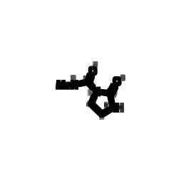 CNC(=O)N1CCNC1=O